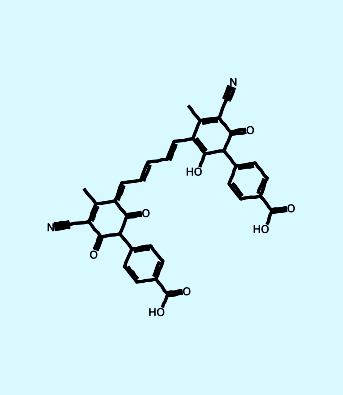 CC1=C(C#N)C(=O)C(c2ccc(C(=O)O)cc2)C(O)=C1C=CC=C/C=C1\C(=O)C(c2ccc(C(=O)O)cc2)C(=O)C(C#N)=C1C